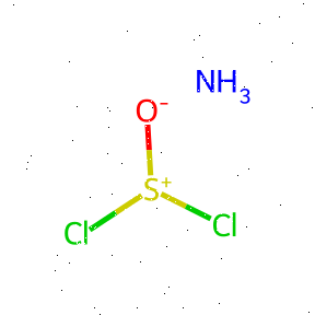 N.[O-][S+](Cl)Cl